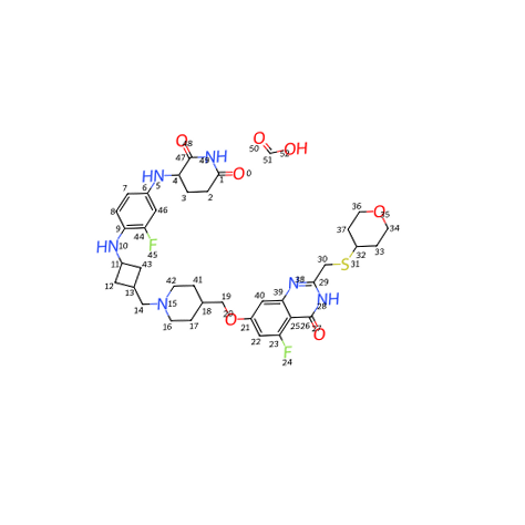 O=C1CCC(Nc2ccc(NC3CC(CN4CCC(COc5cc(F)c6c(=O)[nH]c(CSC7CCOCC7)nc6c5)CC4)C3)c(F)c2)C(=O)N1.O=CO